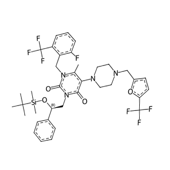 Cc1c(N2CCN(Cc3ccc(C(F)(F)F)o3)CC2)c(=O)n(C[C@H](O[Si](C)(C)C(C)(C)C)c2ccccc2)c(=O)n1Cc1c(F)cccc1C(F)(F)F